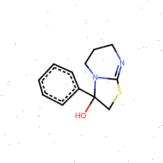 OC1(c2ccccc2)CSC2=NCCCN21